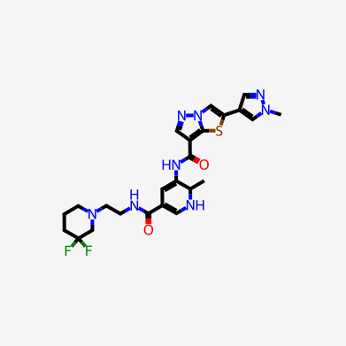 CC1NC=C(C(=O)NCCN2CCCC(F)(F)C2)C=C1NC(=O)c1cnn2cc(-c3cnn(C)c3)sc12